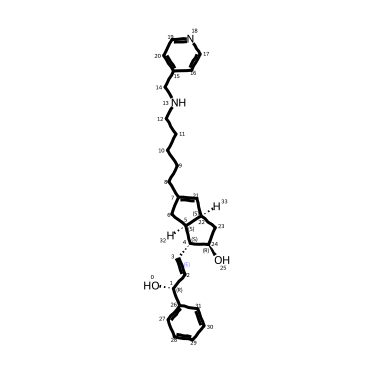 O[C@H](/C=C/[C@@H]1[C@H]2CC(CCCCCNCc3ccncc3)=C[C@H]2C[C@H]1O)c1ccccc1